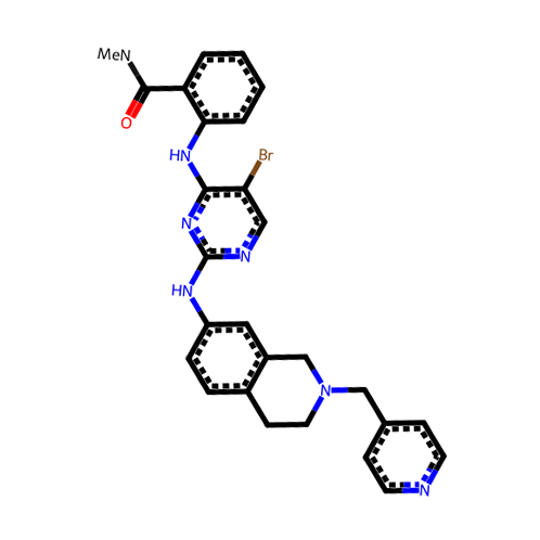 CNC(=O)c1ccccc1Nc1nc(Nc2ccc3c(c2)CN(Cc2ccncc2)CC3)ncc1Br